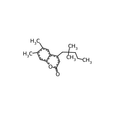 CCCC(C)(C)Cc1cc(=O)oc2cc(C)c(C)cc12